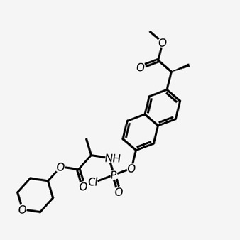 COC(=O)[C@@H](C)c1ccc2cc(OP(=O)(Cl)NC(C)C(=O)OC3CCOCC3)ccc2c1